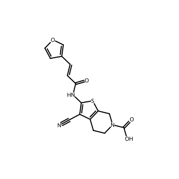 N#Cc1c(NC(=O)C=Cc2ccoc2)sc2c1CCN(C(=O)O)C2